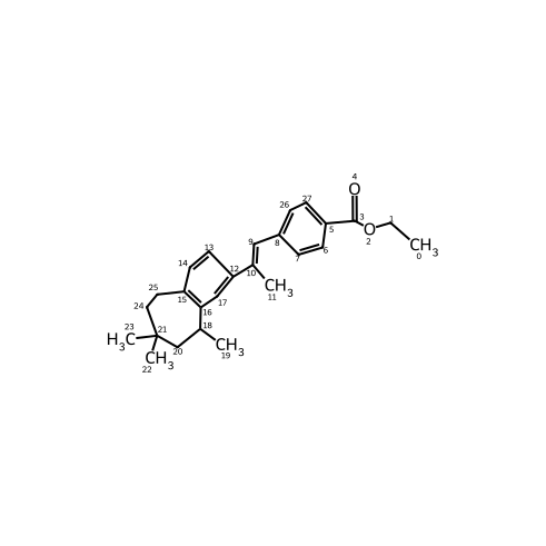 CCOC(=O)c1ccc(C=C(C)c2ccc3c(c2)C(C)CC(C)(C)CC3)cc1